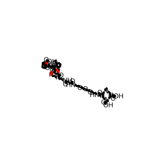 CCN1CCN(CC(=O)O)CCN(CC(=O)O)CCN(CC(=O)NCCCOCCOCCOCCCNC(=O)CCC(=O)NCCCN(CCCN(C)C)C(=O)c2ccc(-n3nc(C(=O)NC4(C(=O)O)C5CC6CC(C5)CC4C6)cc3-c3c(OC)cccc3OC)c(C(C)C)c2)CC1